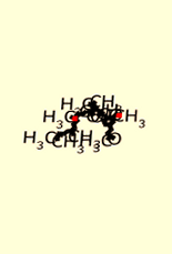 COc1cc(CCC(C)=O)ccc1OC(=O)NC(C(=O)OCC=C(C)CCC=C(C)CCC=C(C)C)C(C)C